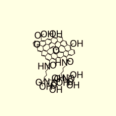 O=C(O)CN(CC(=O)O)C(CCCCNC(=O)c1c2cc3cc4c(C(=O)NCCCCC(C(=O)O)N(CC(=O)O)CC(=O)O)cc5cc6c7c8c9c(cc%10c(O)c%11ccc%12cc%13c(O)c%14cccc1c%14c1c%13c%13c%12c%11c%11c%10c9c9c%10c(c3c(c21)C%131OC%11%101)c4c5c79)=C(C(=O)O)C1C=CCC2(C=6)OC812)C(=O)O